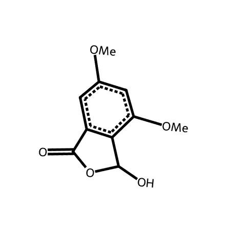 COc1cc(OC)c2c(c1)C(=O)OC2O